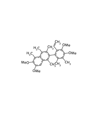 C=Cc1c(OC)c(OC)c(C)c(C)c1-c1c(C)c(C)c2c(C)c(OC)c(OC)cc2c1C